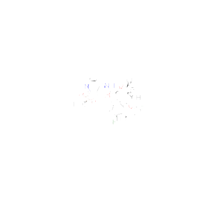 Cc1c(F)ccc([C@H]2[C@H](C(=O)Nc3ccnc(S(C)(=O)=O)c3)O[C@@](C)(C(F)(F)F)[C@H]2C)c1OC(F)F